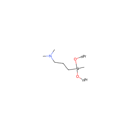 CCCO[Si](C)(CCCN(C)C)OCCC